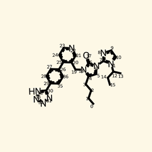 CCCCc1cn(-c2nccn2C(C)CC)c(=O)n1Cc1cnccc1-c1ccc(-c2nnn[nH]2)cc1